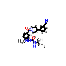 Cc1ccc(C(=O)N2CCC(c3cccc(C#N)c3)CC2)cc1NC(=O)NC(C)C